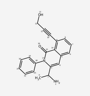 CC(N)c1cc2cccc(C#CCO)c2c(=O)n1-c1ccccc1